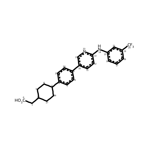 O=C(O)CC1CCC(c2ccc(-c3ccc(Nc4cccc(C(F)(F)F)c4)nc3)cc2)CC1